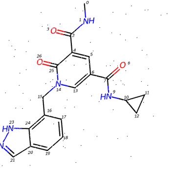 CNC(=O)c1cc(C(=O)NC2CC2)cn(Cc2cccc3cn[nH]c23)c1=O